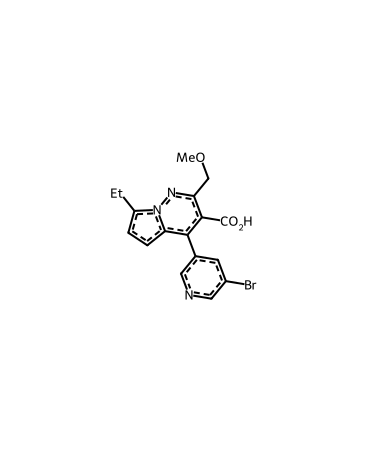 CCc1ccc2c(-c3cncc(Br)c3)c(C(=O)O)c(COC)nn12